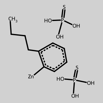 CCCCc1cccc[c]1[Zn].OP(O)(O)=S.OP(O)(O)=S